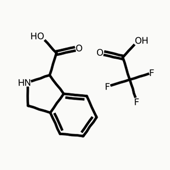 O=C(O)C(F)(F)F.O=C(O)C1NCc2ccccc21